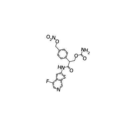 NC(=O)OCC(C(=O)Nc1cc2c(F)cncc2s1)c1ccc(CO[N+](=O)[O-])cc1